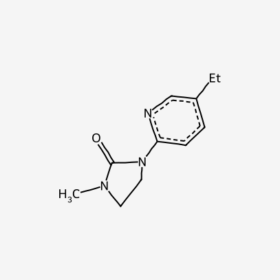 CCc1ccc(N2CCN(C)C2=O)nc1